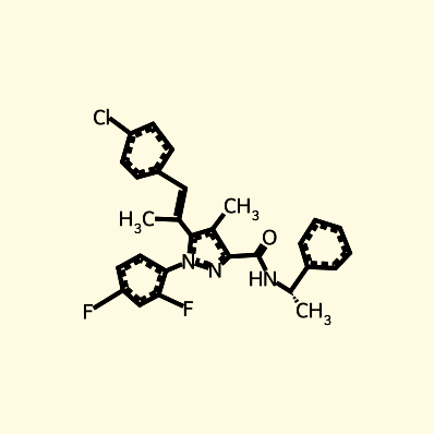 CC(=Cc1ccc(Cl)cc1)c1c(C)c(C(=O)N[C@@H](C)c2ccccc2)nn1-c1ccc(F)cc1F